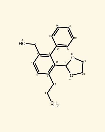 CCCc1ccc(CO)c(-c2ccccc2)c1C1OCCO1